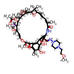 COCCN1CCN(/N=C/c2c3c(O)c4c(O)c(C)c5c(c4c2O)C(=O)[C@@](C)(O/C=C/[C@H](OC)[C@@H](I)[C@@H](OC(C)=O)[C@H](C)[C@H](O)[C@H](C)[C@H]2O[C@@](C)(/C=C/C=C(/C)C(=O)N3)[C@@H]2C)O5)CC1